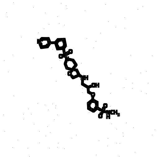 CNS(=O)(=O)c1cccc(OCC(O)CNC2COC3(CCN(S(=O)(=O)c4cccc(-c5ccncc5)c4)CC3)C2)c1